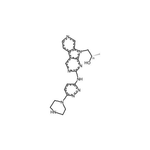 C[C@H](O)Cn1c2cnccc2c2cnc(Nc3ccc(N4CCNCC4)nn3)nc21